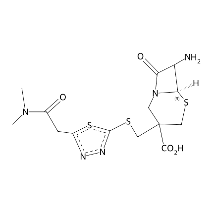 CN(C)C(=O)Cc1nnc(SCC2(C(=O)O)CS[C@@H]3C(N)C(=O)N3C2)s1